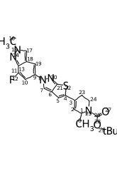 CC1C=C(c2cc3cn(-c4cc(F)c5nn(C)cc5c4)nc3s2)CCN1C(=O)OC(C)(C)C